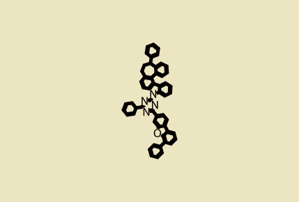 C1=CCC(c2nc(-c3ccc4c(c3)oc3c(-c5ccccc5)cccc34)nc(-n3c4ccccc4c4c5c(ccc43)CCC(c3ccccc3)c3ccccc3-5)n2)C=C1